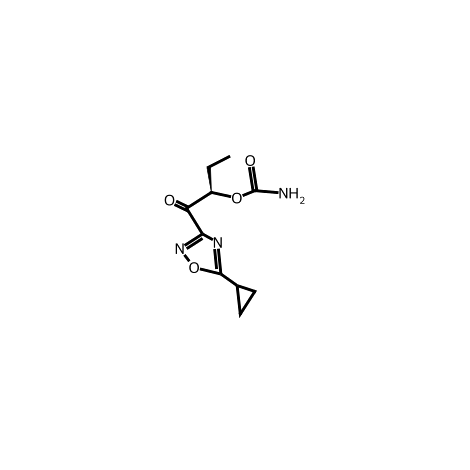 CC[C@@H](OC(N)=O)C(=O)c1noc(C2CC2)n1